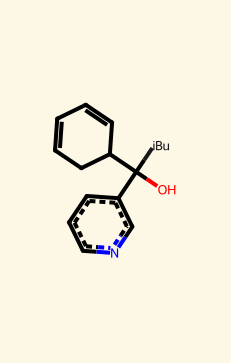 CCC(C)C(O)(c1cccnc1)C1C=CC=CC1